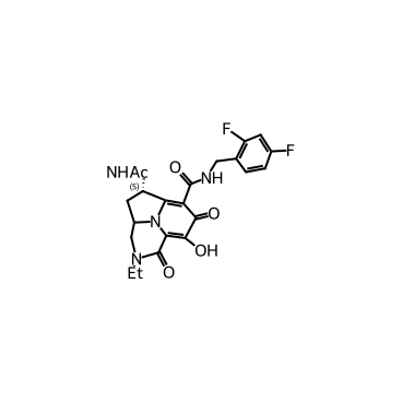 CCN1CC2C[C@H](NC(C)=O)c3c(C(=O)NCc4ccc(F)cc4F)c(=O)c(O)c(n32)C1=O